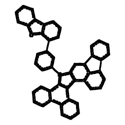 c1cc(-c2cccc3c2oc2ccccc23)cc(-n2c3cc4c5c(cccc5c3c3c5ccccc5c5ccccc5c32)-c2ccccc2-4)c1